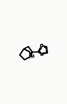 c1coc(C2=[PH]3CCC(C2)C3)n1